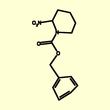 O=C(OCc1ccccc1)N1CCCCC1[N+](=O)[O-]